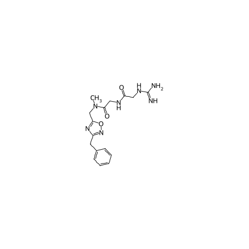 CN(Cc1nc(Cc2ccccc2)no1)C(=O)CNC(=O)CNC(=N)N